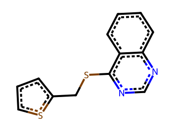 c1csc(CSc2ncnc3ccccc23)c1